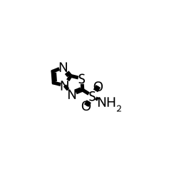 NS(=O)(=O)c1nn2ccnc2s1